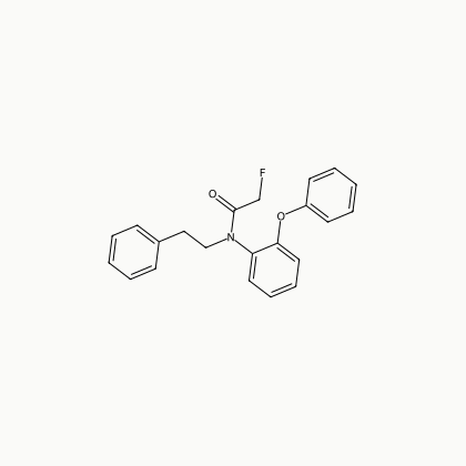 O=C(CF)N(CCc1ccccc1)c1ccccc1Oc1ccccc1